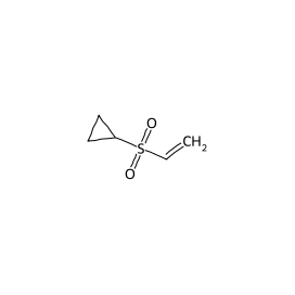 C=CS(=O)(=O)C1CC1